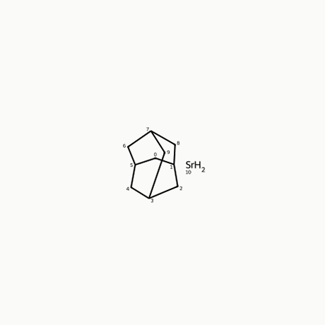 C1C2CC3CC1CC(C2)C3.[SrH2]